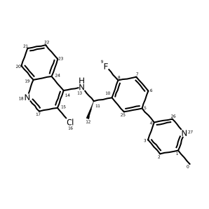 Cc1ccc(-c2ccc(F)c([C@@H](C)Nc3c(Cl)cnc4ccccc34)c2)cn1